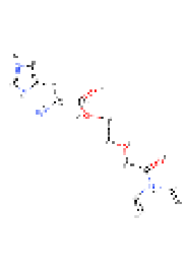 C=CN(C=C)C(=O)COCCOC(=O)C(N)Cc1cnc[nH]1